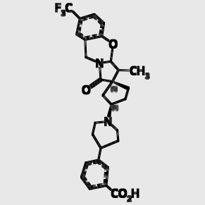 CC1C2Oc3ccc(C(F)(F)F)cc3CN2C(=O)[C@]12CC[C@@H](N1CCC(c3cccc(C(=O)O)c3)CC1)C2